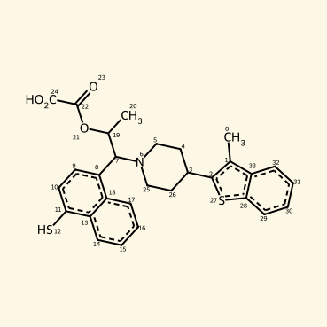 Cc1c(C2CCN(C(c3ccc(S)c4ccccc34)C(C)OC(=O)C(=O)O)CC2)sc2ccccc12